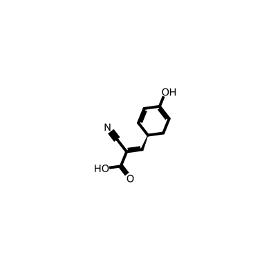 N#C/C(=C\[C@H]1C=CC(O)=CC1)C(=O)O